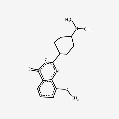 COc1cccc2c(=O)[nH]c(C3CCC(N(C)C)CC3)nc12